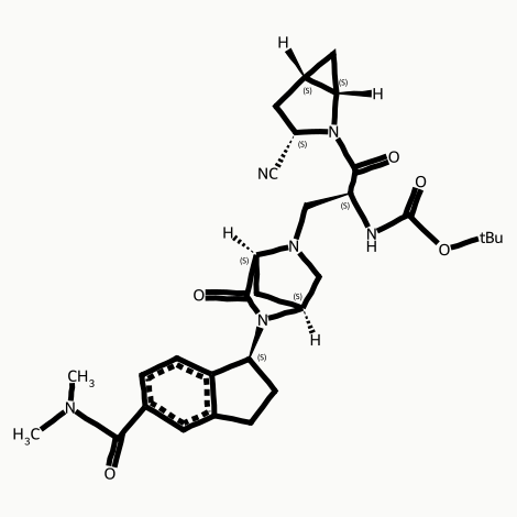 CN(C)C(=O)c1ccc2c(c1)CC[C@@H]2N1C(=O)[C@@H]2C[C@H]1CN2C[C@H](NC(=O)OC(C)(C)C)C(=O)N1[C@H](C#N)C[C@@H]2C[C@@H]21